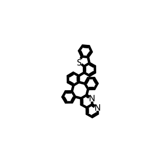 c1ccc2c(c1)-c1cc3cccnc3nc1-c1ccccc1-c1c-2cccc1-c1cccc2c1sc1ccccc12